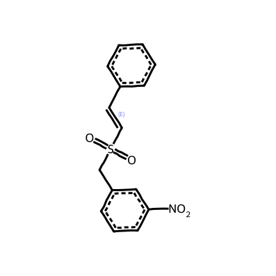 O=[N+]([O-])c1cccc(CS(=O)(=O)/C=C/c2ccccc2)c1